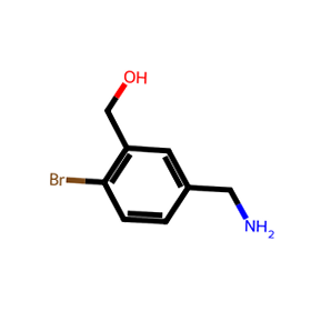 NCc1ccc(Br)c(CO)c1